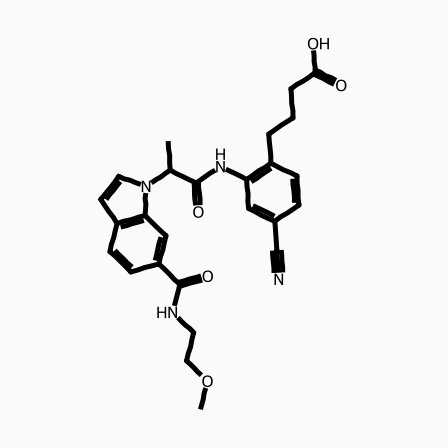 COCCNC(=O)c1ccc2ccn(C(C)C(=O)Nc3cc(C#N)ccc3CCCC(=O)O)c2c1